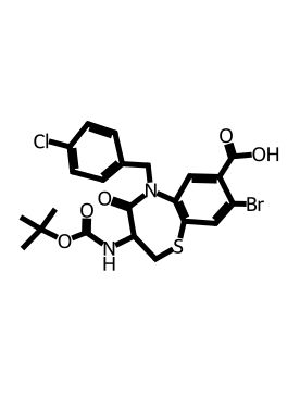 CC(C)(C)OC(=O)NC1CSc2cc(Br)c(C(=O)O)cc2N(Cc2ccc(Cl)cc2)C1=O